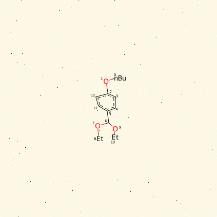 CCCCOc1ccc(C(OCC)OCC)cc1